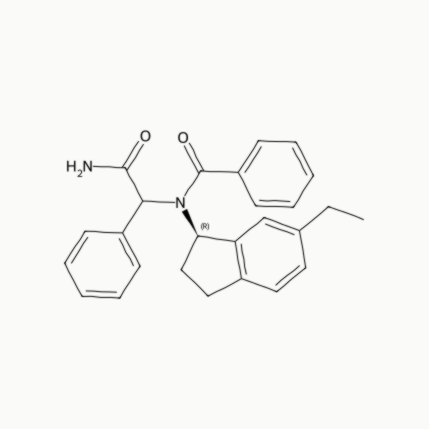 CCc1ccc2c(c1)[C@H](N(C(=O)c1ccccc1)C(C(N)=O)c1ccccc1)CC2